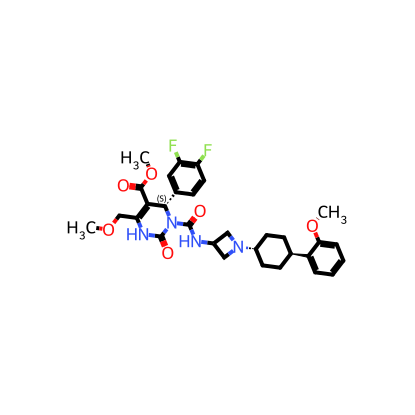 COCC1=C(C(=O)OC)[C@H](c2ccc(F)c(F)c2)N(C(=O)NC2CN([C@H]3CC[C@H](c4ccccc4OC)CC3)C2)C(=O)N1